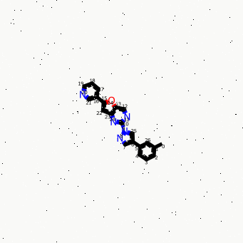 Cc1cccc(-c2cnn(-c3ncc4oc(-c5cccnc5)cc4n3)c2)c1